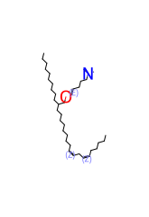 CCCCC/C=C\C/C=C\CCCCCCCCC(CCCCCCCCCC)CO/C=C/CCCN(C)C